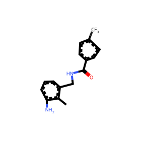 Cc1c(N)cccc1CNC(=O)c1ccc(C(F)(F)F)cc1